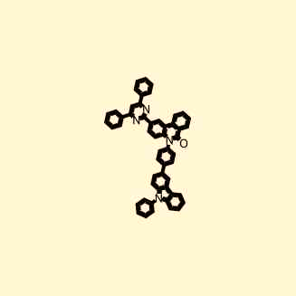 O=c1c2ccccc2c2cc(-c3nc(-c4ccccc4)cc(-c4ccccc4)n3)ccc2n1-c1ccc(-c2ccc3c(c2)c2ccccc2n3-c2ccccc2)cc1